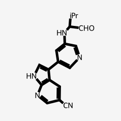 CC(C)C(C=O)Nc1cncc(-c2c[nH]c3ncc(C#N)cc23)c1